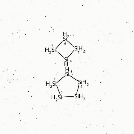 [SiH2]1[SiH2][SiH2][SiH]([SiH]2[SiH2][SiH2][SiH2]2)[SiH2]1